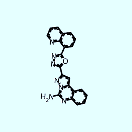 Nc1nc2ccccc2c2cc(-c3nnc(-c4cccc5cccnc45)o3)nn12